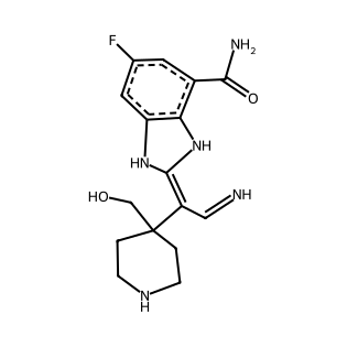 N=C/C(=C1/Nc2cc(F)cc(C(N)=O)c2N1)C1(CO)CCNCC1